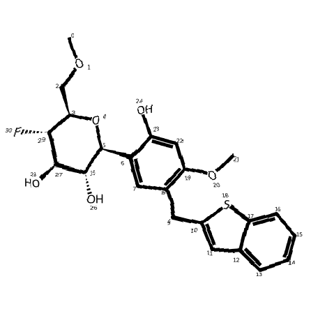 COC[C@H]1O[C@@H](c2cc(Cc3cc4ccccc4s3)c(OC)cc2O)[C@H](O)[C@@H](O)[C@@H]1F